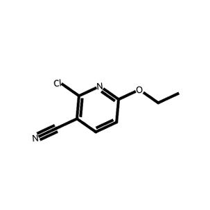 CCOc1ccc(C#N)c(Cl)n1